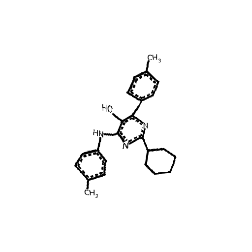 Cc1ccc(Nc2nc(C3CCCCC3)nc(-c3ccc(C)cc3)c2O)cc1